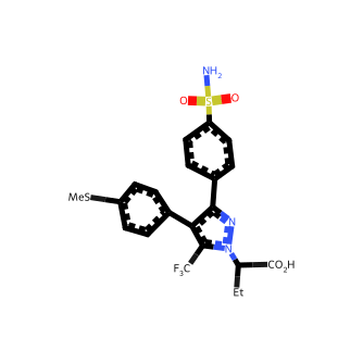 CCC(C(=O)O)n1nc(-c2ccc(S(N)(=O)=O)cc2)c(-c2ccc(SC)cc2)c1C(F)(F)F